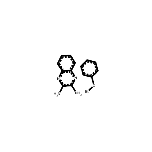 CCOc1ccccc1.Nc1nc2ccccc2nc1N